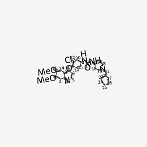 COc1cc2nccc(Oc3ccc(NC(=O)NC4CCN(Cc5ccccc5)CC4)cc3Cl)c2cc1OC